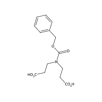 O=C(O)CCN(CCC(=O)O)C(=O)OCc1ccccc1